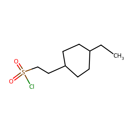 CCC1CCC(CCS(=O)(=O)Cl)CC1